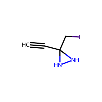 C#CC1(CI)NN1